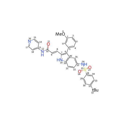 COc1cccc(-c2c(/C=C/C(=O)Nc3ccncc3)[nH]c3ccc(NS(=O)(=O)c4ccc(C(C)(C)C)cc4)cc23)c1